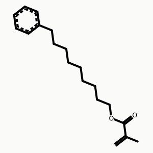 C=C(C)C(=O)OCCCCCCCCCc1ccccc1